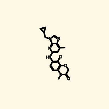 Cc1cc(Nc2ccc3c(c2Cl)OCC(=O)N3C)nc2c1ncn2CC1CC1